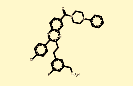 O=C(O)Cc1cc(F)cc(CCc2nc3cc(C(=O)N4CCN(c5ccccc5)CC4)ccc3nc2-c2ccc(Cl)cc2)c1